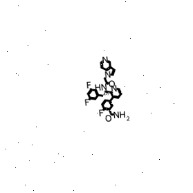 NC(=O)c1cc(-c2cccnc2[C@H](Cc2cc(F)cc(F)c2)NC(=O)Cn2ccc3cnccc32)ccc1F